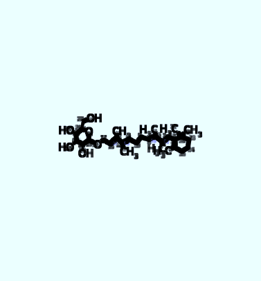 CC1=C(/C=C(C)/C(C)=C/CC/C=C(C)/C(C)=C/COC2O[C@H](CO)[C@@H](O)[C@H](O)[C@H]2O)C(C)(C)CCC1